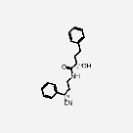 N#C[C@@H](CCNC(=O)[C@@H](O)CCc1ccccc1)c1ccccc1